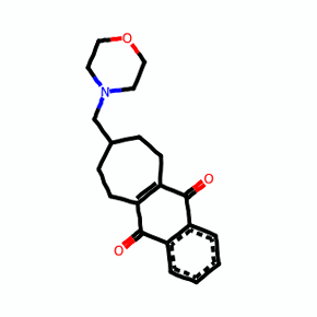 O=C1C2=C(CCC(CN3CCOCC3)CC2)C(=O)c2ccccc21